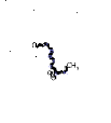 CC/C=C\C/C=C(\C\C=C/C=C\C=C/C=C\C/C=C\CC[C]=O)[N+](=O)[O-]